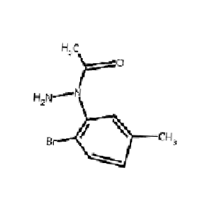 CC(=O)N(N)c1cc(C)ccc1Br